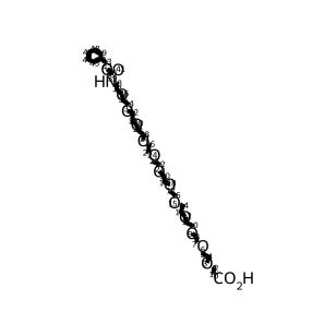 O=C(O)CCOCCOCCOCCOCCOCCOCCOCCOCCOCCOCCOCCOCCNC(=O)OCc1ccccc1